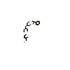 CNC(=O)c1ccc(N2CCC(CC3CCN(C(=O)[C@](O)(c4cccc(Br)c4)C(F)(F)F)CC3)CC2)nc1Cl